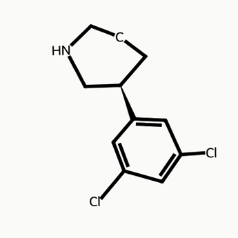 Clc1cc(Cl)cc([C@@H]2CCCNC2)c1